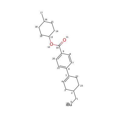 CCC(C)CC1CC=C(c2ccc(C(=O)OC3CCC(C)CC3)cc2)CC1